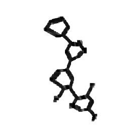 Fc1cnc(-c2cc(-c3cnnc(-c4ccccc4)c3)ccc2F)c(F)c1